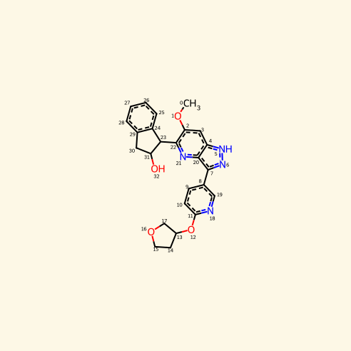 COc1cc2[nH]nc(-c3ccc(OC4CCOC4)nc3)c2nc1C1c2ccccc2CC1O